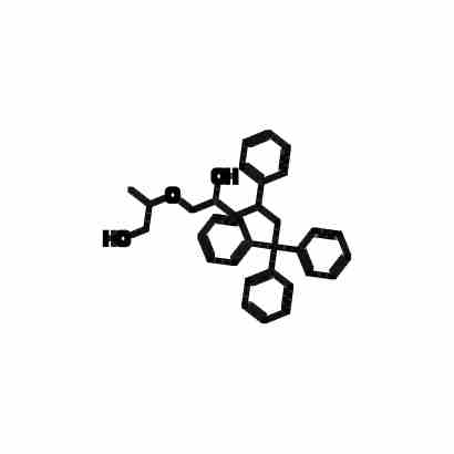 CC(CO)OCC(O)CC(CC(c1ccccc1)(c1ccccc1)c1ccccc1)c1ccccc1